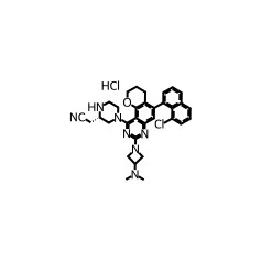 CN(C)C1CN(c2nc(N3CCN[C@@H](CC#N)C3)c3c4c(c(-c5cccc6cccc(Cl)c56)cc3n2)CCCO4)C1.Cl